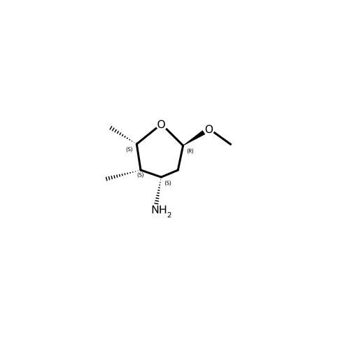 CO[C@H]1C[C@H](N)[C@H](C)[C@H](C)O1